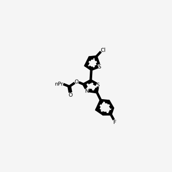 CCCC(=O)Oc1nc(-c2ccc(F)cc2)sc1-c1ccc(Cl)s1